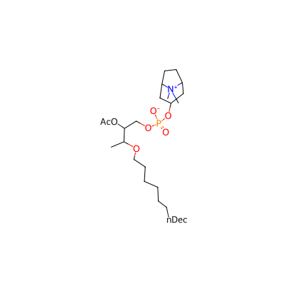 CCCCCCCCCCCCCCCCOC(C)C(COP(=O)([O-])OC1CC2CCC(C1)[N+]2(C)C)OC(C)=O